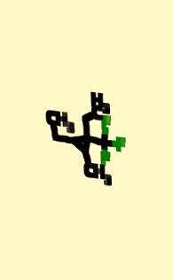 CCC1C(C)C1(CC)C(F)(F)F